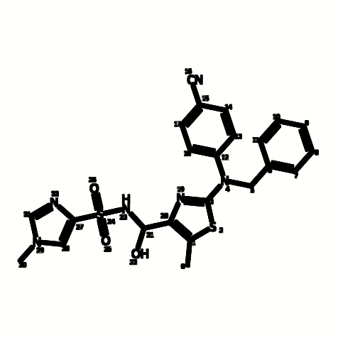 Cc1sc(N(Cc2ccccc2)c2ccc(C#N)cc2)nc1C(O)NS(=O)(=O)c1cn(C)cn1